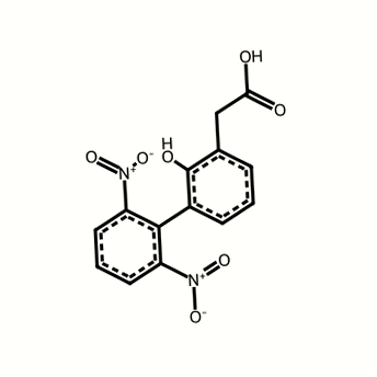 O=C(O)Cc1cccc(-c2c([N+](=O)[O-])cccc2[N+](=O)[O-])c1O